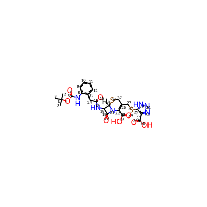 CC(C)(C)OC(=O)Nc1ccccc1CC(=O)NC1C(=O)N2C(C(=O)O)=C(CSc3[nH]nnc3C(=O)O)CS[C@H]12